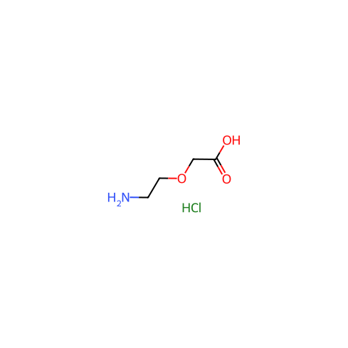 Cl.NCCOCC(=O)O